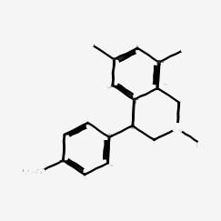 CNc1ccc(C2CN(C)Cc3c(C)cc(C)cc32)cc1